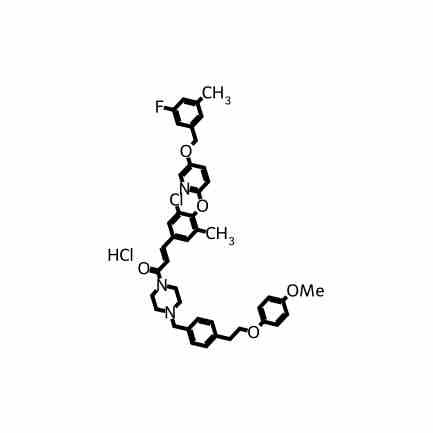 COc1ccc(OCCc2ccc(CN3CCN(C(=O)C=Cc4cc(C)c(Oc5ccc(OCc6cc(C)cc(F)c6)cn5)c(Cl)c4)CC3)cc2)cc1.Cl